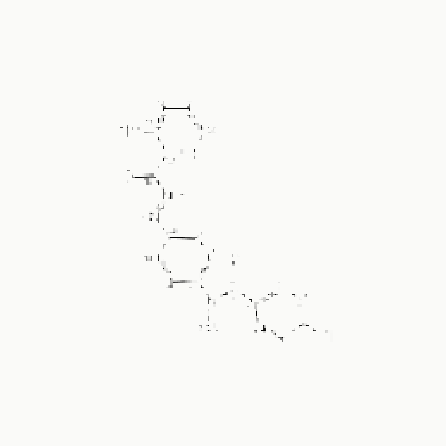 CCn1c(-c2ccc(Cl)cc2)cc2cc(N=NC(=O)c3ccccc3Cl)ccc21